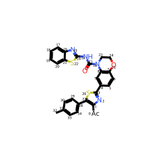 CC(=O)c1nc(-c2ccc3c(c2)N(C(=O)Nc2nc4ccccc4s2)CCO3)sc1-c1ccc(C)cc1